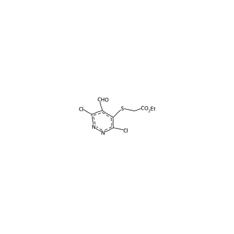 CCOC(=O)CSc1c(Cl)nnc(Cl)c1C=O